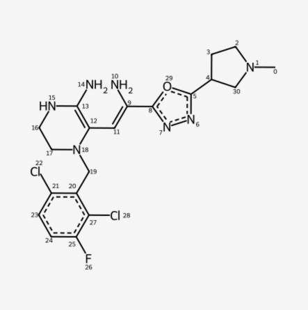 CN1CCC(c2nnc(/C(N)=C/C3=C(N)NCCN3Cc3c(Cl)ccc(F)c3Cl)o2)C1